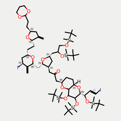 C=C1C[C@H](CCC2OCCCO2)O[C@H]1CC[C@H]1C[C@H](I)C(=C)[C@@H](C[C@@H]2O[C@H](CC(CO[Si](C)(C)C(C)(C)C)O[Si](C)(C)C(C)(C)C)C[C@H]2CC(=O)C[C@H]2CC[C@@H]3O[C@H](C(/C=C/I)O[Si](C)(C)C(C)(C)C)C(O[Si](C)(C)C(C)(C)C)C(O[Si](C)(C)C(C)(C)C)C3O2)O1